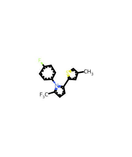 Cc1csc(-c2ccc(C(F)(F)F)n2-c2ccc(F)cc2)c1